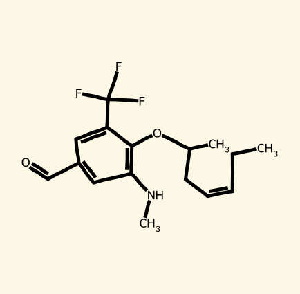 CC/C=C\CC(C)Oc1c(NC)cc(C=O)cc1C(F)(F)F